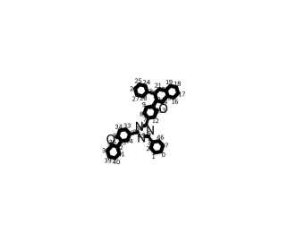 c1ccc(-c2nc(-c3ccc4c(c3)oc3c5ccccc5cc(-c5ccccc5)c43)nc(-c3ccc4oc5ccccc5c4c3)n2)cc1